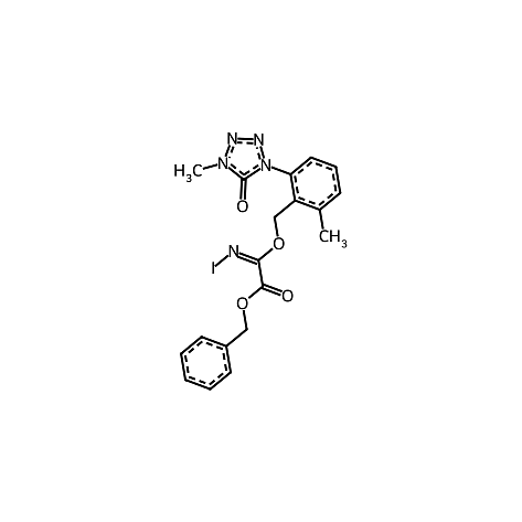 Cc1cccc(-n2nnn(C)c2=O)c1COC(=NI)C(=O)OCc1ccccc1